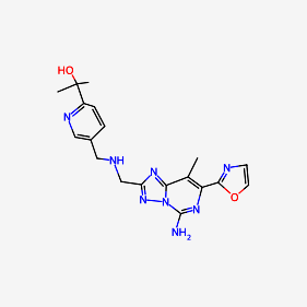 Cc1c(-c2ncco2)nc(N)n2nc(CNCc3ccc(C(C)(C)O)nc3)nc12